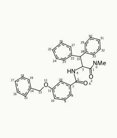 CNC(=O)C(NC(=O)c1cccc(OCc2ccccc2)c1)C(c1ccccc1)c1ccccc1